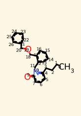 CCCCc1cccc(=O)n1Cc1ccccc1COCc1ccccc1